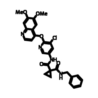 COc1cc2nccc(Oc3ncc(NC(=O)C4(C(=O)NCc5ccccc5)CC4)cc3Cl)c2cc1OC